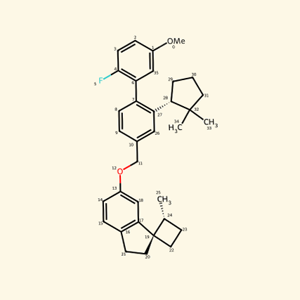 COc1ccc(F)c(-c2ccc(COc3ccc4c(c3)[C@@]3(CC4)CC[C@H]3C)cc2[C@@H]2CCCC2(C)C)c1